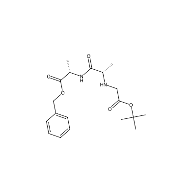 C[C@H](NCC(=O)OC(C)(C)C)C(=O)N[C@@H](C)C(=O)OCc1ccccc1